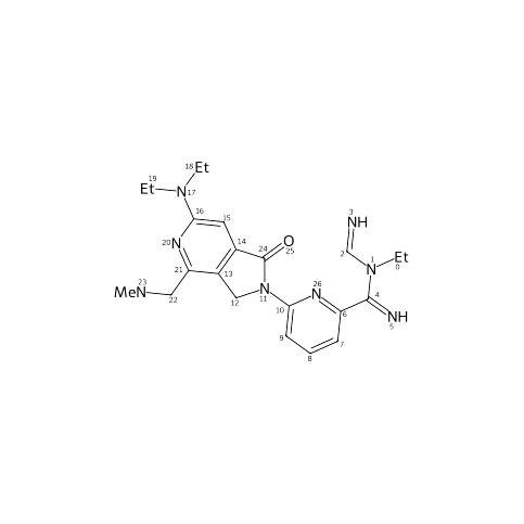 CCN(C=N)C(=N)c1cccc(N2Cc3c(cc(N(CC)CC)nc3CNC)C2=O)n1